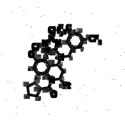 CCC1CC(N(Cc2cc(C(F)(F)F)cc(C(F)(F)F)c2)c2nnn(C)n2)c2cc(OC(F)(F)F)ccc2N1C(=O)C1CCCC1